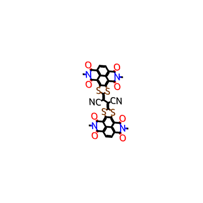 Cn1c(=O)c2ccc3c(=O)n(C)c(=O)c4c5sc(=C(C#N)C(C#N)=c6sc7c(s6)c6c(=O)n(C)c(=O)c8ccc9c(=O)n(C)c(=O)c7c9c86)sc5c(c1=O)c2c34